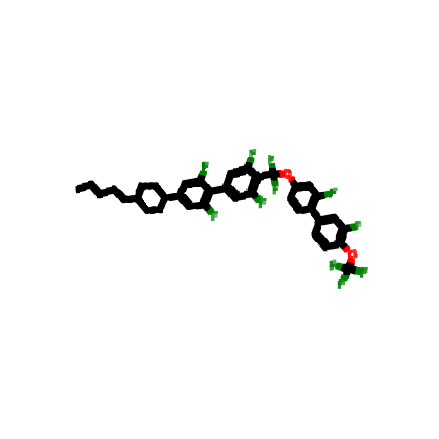 CCCCCC1CCC(c2cc(F)c(-c3cc(F)c(C(F)(F)Oc4ccc(-c5ccc(OC(F)(F)F)c(F)c5)c(F)c4)c(F)c3)c(F)c2)CC1